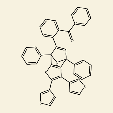 O=C(c1ccccc1)c1ccccc1C1=CC2(c3ccccc3)NC1(c1ccccc1)c1sc(-c3ccsc3)c(-c3ccsc3)c12